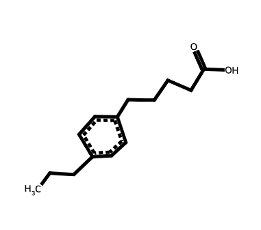 CCCc1ccc(CCCCC(=O)O)cc1